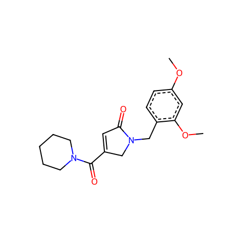 COc1ccc(CN2CC(C(=O)N3CCCCC3)=CC2=O)c(OC)c1